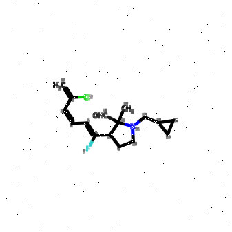 C=C(Cl)/C=C\C=C(/F)C1CCN(CC2CC2)C1(C)C=O